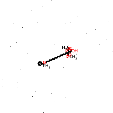 COC(=O)C(CCCC=CCCCCCCCCCCCOC(C)c1ccccc1)=C(CC(=O)O)C(=O)OC